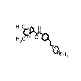 Cc1cc(C)n2ccc(C(=O)Nc3ccc(CCN4CCN(C)CC4)cc3)c2n1